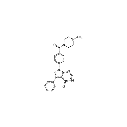 CN1CCN(C(=O)c2ccc(-c3cn(-c4ccccc4)c4c(=O)[nH]cnc34)cc2)CC1